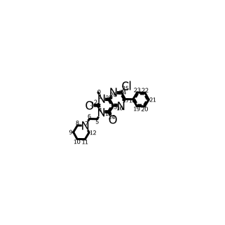 Cn1c(=O)n(CCN2CCCCC2)c(=O)c2nc(-c3ccccc3)c(Cl)nc21